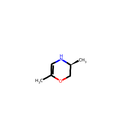 CC1=CN[C@@H](C)CO1